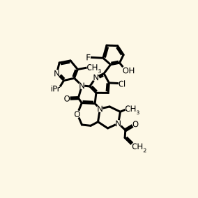 C=CC(=O)N1CC2CCOc3c(c4cc(Cl)c(-c5c(O)cccc5F)nc4n(-c4c(C)ccnc4C(C)C)c3=O)N2CC1C